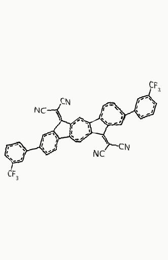 N#CC(C#N)=C1c2cc(-c3cccc(C(F)(F)F)c3)ccc2-c2cc3c(cc21)-c1ccc(-c2cccc(C(F)(F)F)c2)cc1C3=C(C#N)C#N